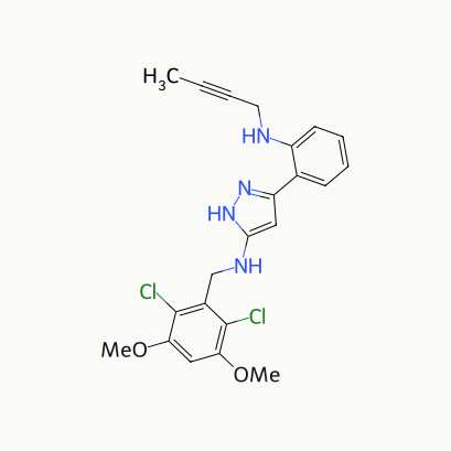 CC#CCNc1ccccc1-c1cc(NCc2c(Cl)c(OC)cc(OC)c2Cl)[nH]n1